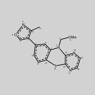 COCN1c2cc(-c3conc3C)ccc2Sc2nccnc21